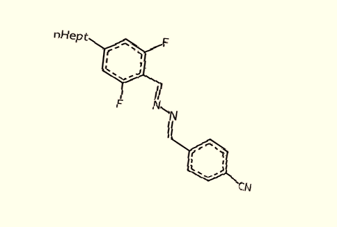 CCCCCCCc1cc(F)c(/C=N/N=C/c2ccc(C#N)cc2)c(F)c1